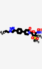 C=CCn1cc(-c2ccc(-c3ccn(CCC(C)(C(O)NO)S(C)(=O)=O)c(=O)c3)cc2)nn1